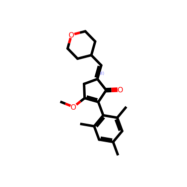 COC1=C(c2c(C)cc(C)cc2C)C(=O)/C(=C/C2CCOCC2)C1